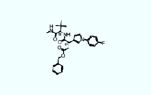 CNC(=O)[C@@H](NC(=O)[C@@H](CC(=O)OCc1ccccc1)c1ccn(-c2ccc(F)cc2)c1)C(C)(C)C